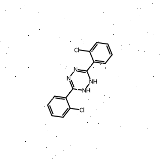 Clc1ccccc1C1=NN=C(c2ccccc2Cl)NN1